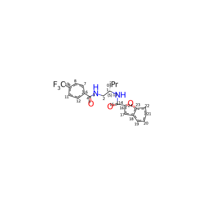 CC(C)[C@@H](CNC(=O)c1ccc(C(F)(F)F)cc1)NC(=O)c1cc2ccccc2o1